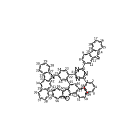 c1ccc(-c2nc(-c3ccc4c(c3)sc3ccccc34)nc(-c3ccc(-n4c5ccccc5c5cc6ccccc6cc54)cc3-c3cc4ccccc4c4oc5ccccc5c34)n2)cc1